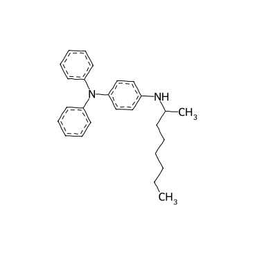 CCCCCCC(C)Nc1ccc(N(c2ccccc2)c2ccccc2)cc1